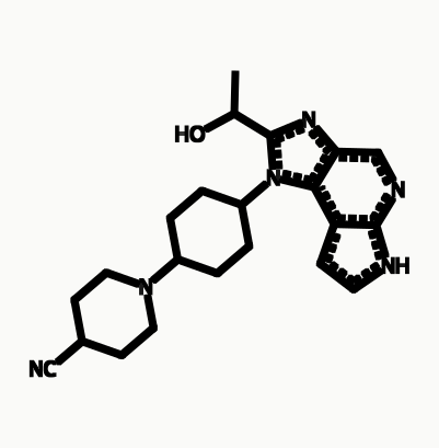 CC(O)c1nc2cnc3[nH]ccc3c2n1C1CCC(N2CCC(C#N)CC2)CC1